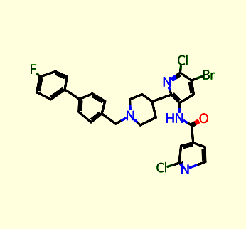 O=C(Nc1cc(Br)c(Cl)nc1C1CCN(Cc2ccc(-c3ccc(F)cc3)cc2)CC1)c1ccnc(Cl)c1